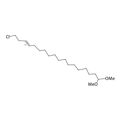 COC(CCCCCCCCCCCCC/C=C/CCCl)OC